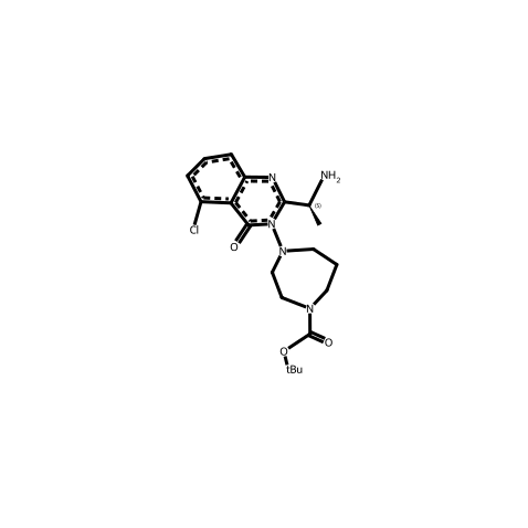 C[C@H](N)c1nc2cccc(Cl)c2c(=O)n1N1CCCN(C(=O)OC(C)(C)C)CC1